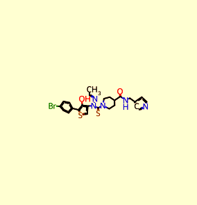 C/C=N/N(C(=S)N1CCC(C(=O)NCc2ccncc2)CC1)c1csc(-c2ccc(Br)cc2)c1O